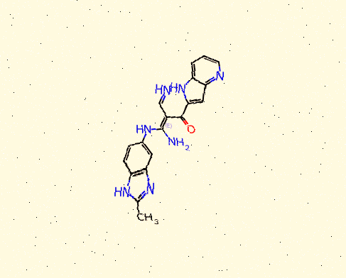 Cc1nc2cc(N/C(N)=C(\C=N)C(=O)c3cc4ncccc4[nH]3)ccc2[nH]1